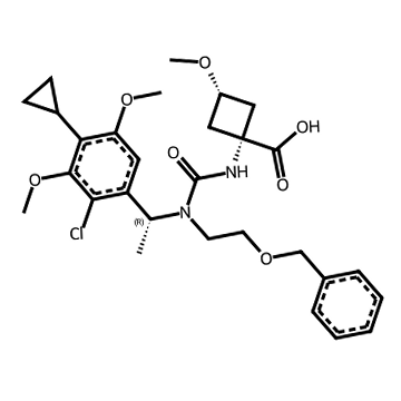 COc1cc([C@@H](C)N(CCOCc2ccccc2)C(=O)N[C@]2(C(=O)O)C[C@H](OC)C2)c(Cl)c(OC)c1C1CC1